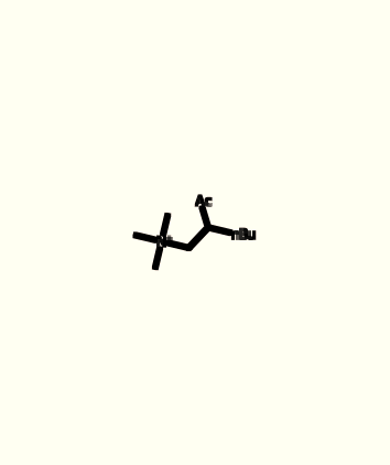 CCCCC(C[N+](C)(C)C)C(C)=O